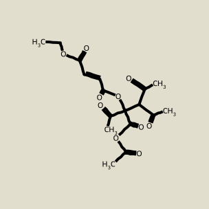 CCOC(=O)C=CC(=O)OC(C(C)=O)(C(=O)OC(C)=O)C(C(C)=O)C(C)=O